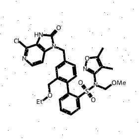 CCOCc1cc(Cn2c(=O)[nH]c3c(Cl)nccc32)ccc1-c1ccccc1S(=O)(=O)N(COC)c1noc(C)c1C